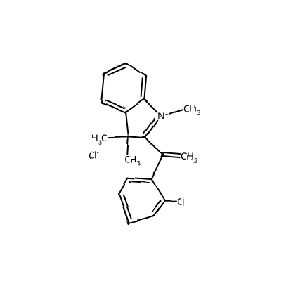 C=C(C1=[N+](C)c2ccccc2C1(C)C)c1ccccc1Cl.[Cl-]